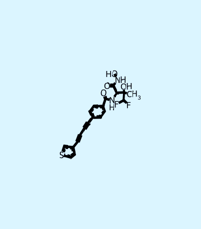 CC(O)(C(F)F)C(NC(=O)c1ccc(C#CC#Cc2ccsc2)cc1)C(=O)NO